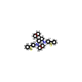 c1ccc(-c2ccc(N(c3ccccc3)c3ccc4c(c3)sc3ccccc34)c3cc(N(c4ccccc4)c4ccc5c(c4)sc4ccccc45)cc(-c4ccccc4)c23)cc1